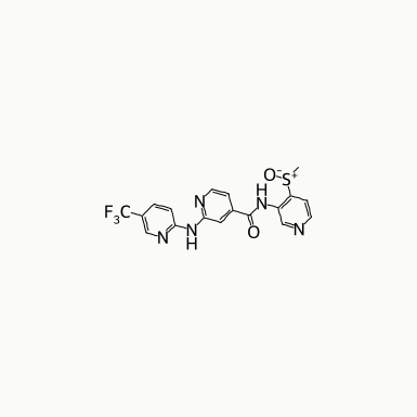 C[S+]([O-])c1ccncc1NC(=O)c1ccnc(Nc2ccc(C(F)(F)F)cn2)c1